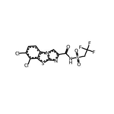 O=C(NS(=O)(=O)CC(F)(F)F)c1cn2c(n1)sc1c(Cl)c(Cl)ccc12